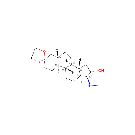 CN[C@@H]1[C@@H](O)C[C@H]2[C@@H]3CC[C@H]4CC5(CC[C@]4(C)[C@H]3CC[C@]12C)OCCO5